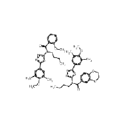 CCCCN(C(=O)c1ccc2c(c1)OCCO2)c1nnc(-c2cc(C)c(OC)c(C)c2)s1.CCCCN(C(=O)c1ccccc1OC)c1nnc(-c2cc(C)c(OC)c(C)c2)s1